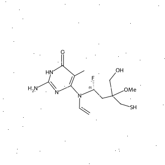 C=CN(c1nc(N)[nH]c(=O)c1C)[C@H](F)CC(CO)(CS)OC